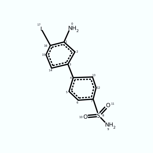 Nc1cc(-c2ccc(S(N)(=O)=O)cc2)ccc1I